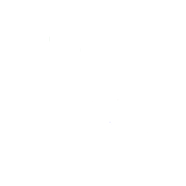 O=S1(=O)CSC(SC=CC(F)C(F)F)=N1